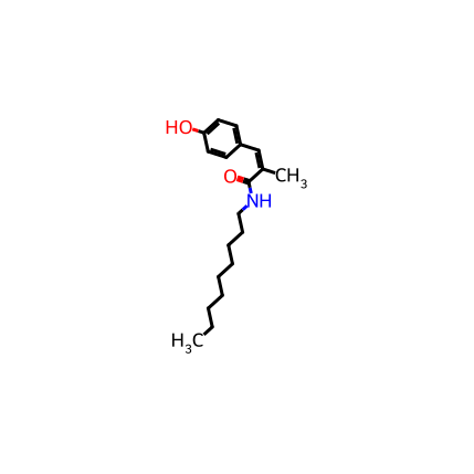 CCCCCCCCCNC(=O)C(C)=Cc1ccc(O)cc1